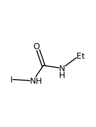 CCNC(=O)NI